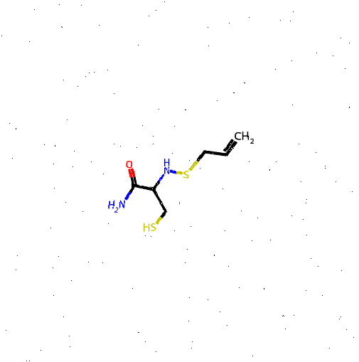 C=CCSNC(CS)C(N)=O